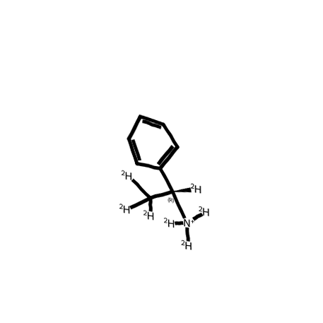 [2H]C([2H])([2H])[C@]([2H])(c1ccccc1)[N+]([2H])([2H])[2H]